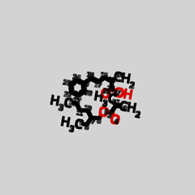 C=C(C)C(=O)OCC(CC)CCCC.C=C(CC=Cc1ccccc1)C(=O)O